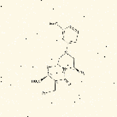 COc1cccc(N2CCN(C(=O)[C@@H](CC(C)C)[C@H](O)C(=O)O)[C@H](C)C2)c1